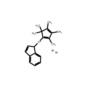 CC1=C(C)C(C)(C)[C]([Ti+2][CH]2C=Cc3ccccc32)=C1C.[Br-].[Br-]